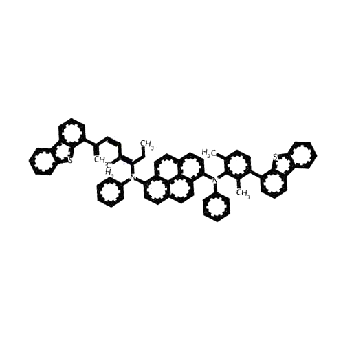 C=C(/C=C\C(C)=C(/CC)N(c1ccccc1)c1ccc2ccc3c(N(c4ccccc4)c4c(C)ccc(-c5cccc6c5sc5ccccc56)c4C)ccc4ccc1c2c43)c1cccc2c1sc1ccccc12